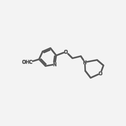 O=Cc1ccc(OCCN2CCOCC2)nc1